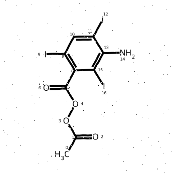 CC(=O)OOC(=O)c1c(I)cc(I)c(N)c1I